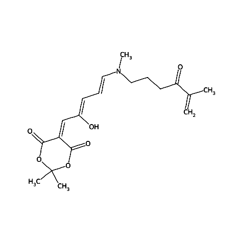 C=C(C)C(=O)CCCN(C)/C=C/C=C(\O)C=C1C(=O)OC(C)(C)OC1=O